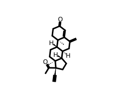 C#C[C@]1(C(C)=O)CC[C@H]2[C@@H]3CC(=C)C4=CC(=O)CC[C@]4(C)[C@H]3CC[C@@]21C